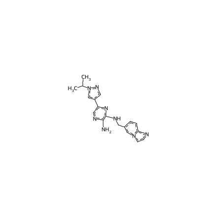 CC(C)n1cc(-c2cnc(N)c(NCc3ccc4nccn4c3)n2)cn1